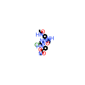 C=CC(=O)Nc1ccc(NC2CCOC2)c(Nc2ncc(Cl)c(Nc3ccccc3C(=O)C(=O)N(C)C)n2)c1